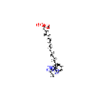 O=C(O)CCCCCCCC=CCCCCCCCCC12CCCC=CN1CCCN2